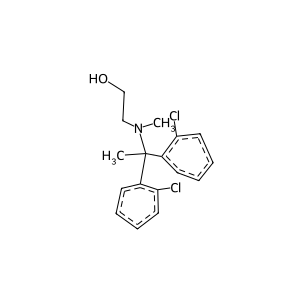 CN(CCO)C(C)(c1ccccc1Cl)c1ccccc1Cl